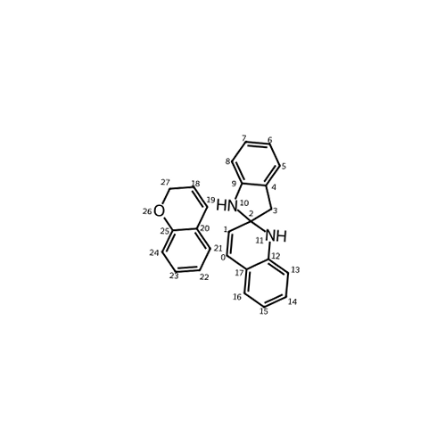 C1=CC2(Cc3ccccc3N2)Nc2ccccc21.C1=Cc2ccccc2OC1